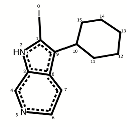 Ic1[nH]c2cnccc2c1C1CCCCC1